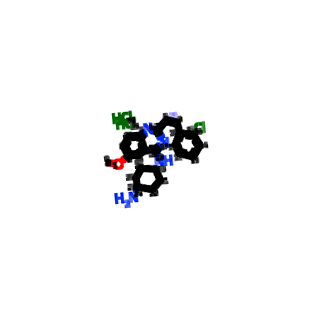 COc1ccc2nc(/C=C\c3ccccc3Cl)nc(NC3CCC(N)CC3)c2c1.Cl.Cl